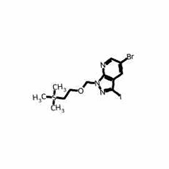 CS(C)(C)CCOCn1nc(I)c2cc(Br)cnc21